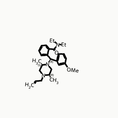 C=CCN1C[C@H](C)N([C@H](c2cccc(OC)c2)c2ccccc2C(=O)N(CC)CC)C[C@H]1C